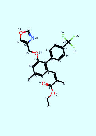 CCOC(=O)C(C)=Cc1cc(C)cc(OCc2cocn2)c1-c1ccc(C(F)(F)F)cc1